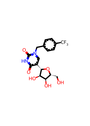 O=c1[nH]c(=O)n(Cc2ccc(C(F)(F)F)cc2)cc1[C@@H]1O[C@H](CO)[C@@H](O)[C@H]1O